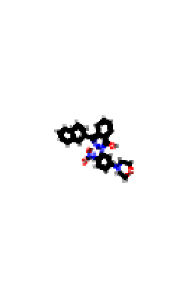 O=c1c2ccccc2c(-c2ccc3ccccc3c2)nn1-c1cc(N2CCOCC2)ccc1[N+](=O)[O-]